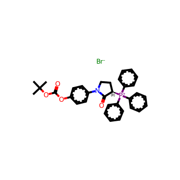 CC(C)(C)OC(=O)Oc1ccc(N2CC[C@@H]([P+](c3ccccc3)(c3ccccc3)c3ccccc3)C2=O)cc1.[Br-]